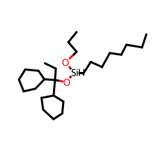 CCCCCCCC[SiH](OCCC)OC(CC)(C1CCCCC1)C1CCCCC1